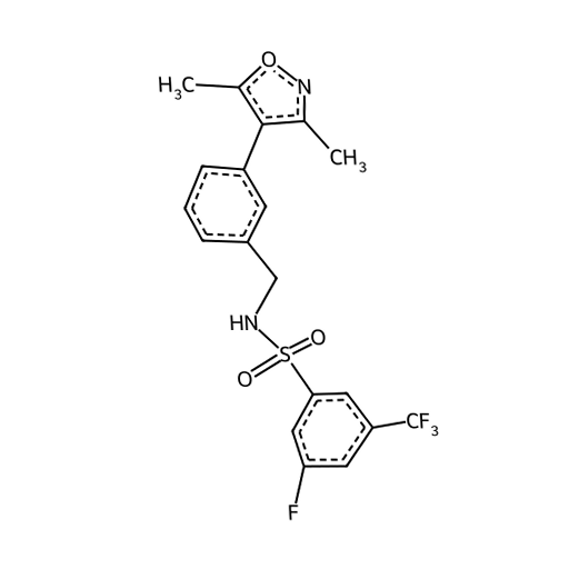 Cc1noc(C)c1-c1cccc(CNS(=O)(=O)c2cc(F)cc(C(F)(F)F)c2)c1